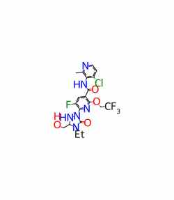 CCN1C(=O)N(c2nc(OCC(F)(F)F)c(C(=O)Nc3c(Cl)ccnc3C)cc2F)NC1CO